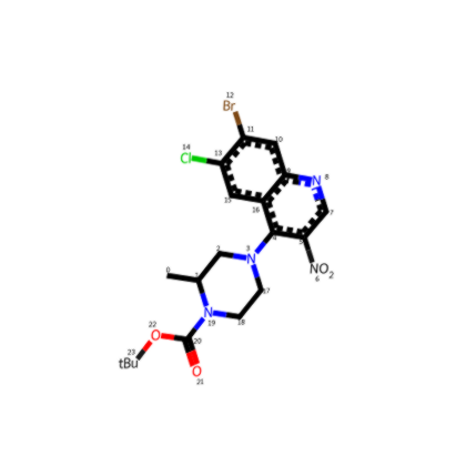 CC1CN(c2c([N+](=O)[O-])cnc3cc(Br)c(Cl)cc23)CCN1C(=O)OC(C)(C)C